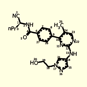 CCC[C@@H](C#N)NC(=O)c1ccc(-c2nc(Nc3cnn(CCO)c3)ncc2C)cc1